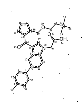 Cc1ncc(-c2ccc3c(c2)c(C(=O)c2nccn2COCC[Si](C)(C)C)nn3CC(=O)O)cn1